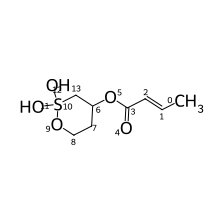 CC=CC(=O)OC1CCOS(O)(O)C1